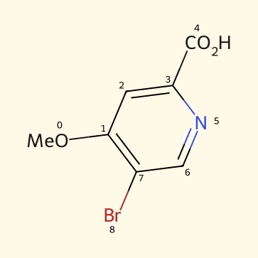 COc1cc(C(=O)O)ncc1Br